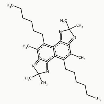 CCCCCCc1c(C)c2c(c3c(CCCCCC)c(C)c4c(c13)=NC(C)(C)N=4)=NC(C)(C)N=2